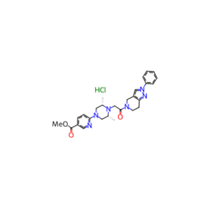 COC(=O)c1ccc(N2C[C@@H](C)N(CC(=O)N3CCc4nn(-c5ccccc5)cc4C3)[C@@H](C)C2)nc1.Cl